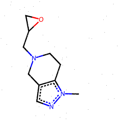 Cn1ncc2c1CCN(CC1CO1)C2